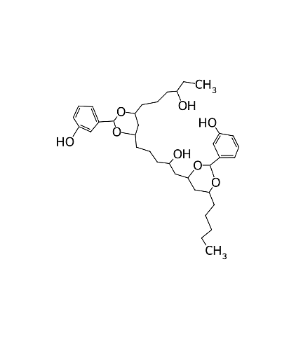 CCCCCC1CC(CC(O)CCCC2CC(CCCC(O)CC)OC(c3cccc(O)c3)O2)OC(c2cccc(O)c2)O1